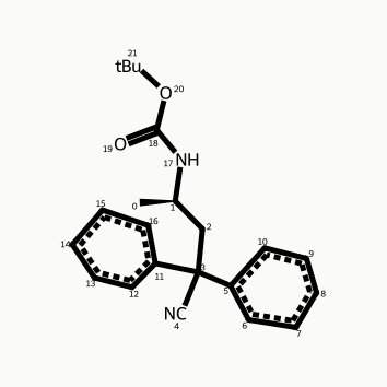 C[C@H](CC(C#N)(c1ccccc1)c1ccccc1)NC(=O)OC(C)(C)C